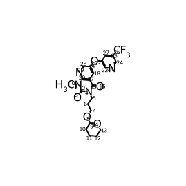 Cn1c(=O)n(CCCOC2CCCCO2)c(=O)c2cc(Oc3cncc(C(F)(F)F)c3)cnc21